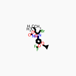 CC(C)(C)CC(OC(N)=O)c1oc(-c2ccc(OC(F)F)c(OCC3CC3)c2)nc1CBr